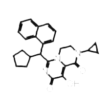 O=C1c2c(O)c(=O)nc(C(c3cccc4ccccc34)C3CCCC3)n2CCN1C1CC1